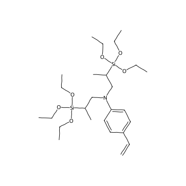 C=Cc1ccc(N(CC(C)[Si](OCC)(OCC)OCC)CC(C)[Si](OCC)(OCC)OCC)cc1